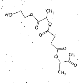 CC(OC(=O)CCC(=O)OC(C)C(=O)OCCO)C(=O)O